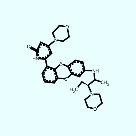 CC[C@@H](C(C)Nc1ccc2c(c1)Sc1cccc(-c3cc(N4CCOCC4)cc(=O)[nH]3)c1S2)N1CCOCC1